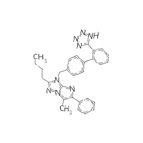 CCCCc1nn2c(C)c(-c3ccccc3)nc2n1Cc1ccc(-c2ccccc2-c2nnn[nH]2)cc1